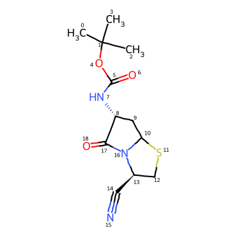 CC(C)(C)OC(=O)N[C@@H]1CC2SC[C@@H](C#N)N2C1=O